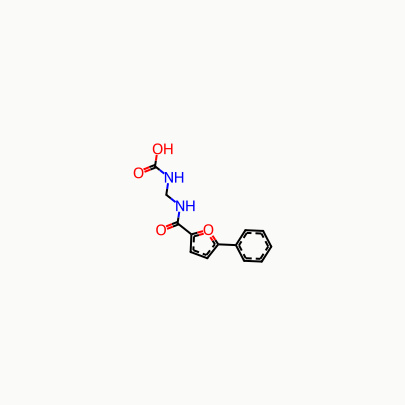 O=C(O)NCNC(=O)c1ccc(-c2ccccc2)o1